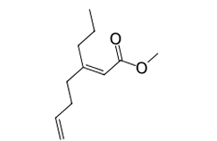 C=CCCC(=CC(=O)OC)CCC